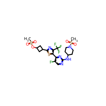 CS(=O)(=O)OC1CC(c2nc(C(F)(F)F)c(-c3nc(NC4CCN(S(C)(=O)=O)CC4)ncc3F)s2)C1